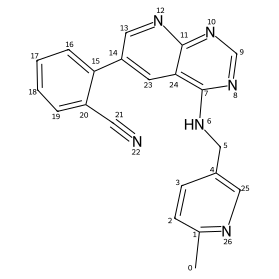 Cc1ccc(CNc2ncnc3ncc(-c4ccccc4C#N)cc23)cn1